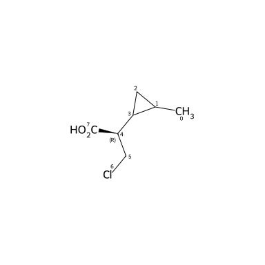 CC1CC1[C@@H](CCl)C(=O)O